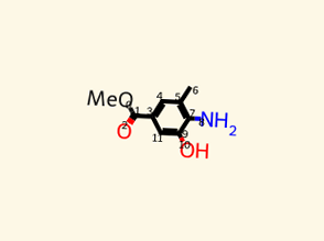 COC(=O)c1cc(C)c(N)c(O)c1